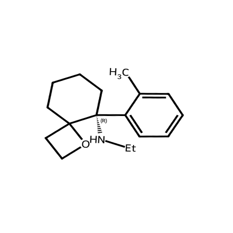 CCN[C@@]1(c2ccccc2C)CCCCC12CCO2